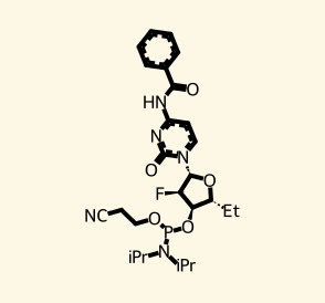 CC[C@H]1O[C@@H](n2ccc(NC(=O)c3ccccc3)nc2=O)[C@H](F)[C@@H]1OP(OCCC#N)N(C(C)C)C(C)C